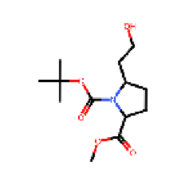 COC(=O)C1CCC(CCO)N1C(=O)OC(C)(C)C